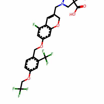 CC1(C(=O)O)CCN(CC2=Cc3c(F)cc(OCc4ccc(OCC(F)(F)F)cc4C(F)(F)F)cc3OC2)C1